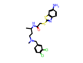 CC(CCN(C)Cc1ccc(Cl)c(Cl)c1)NC(=O)CSc1nc2ccc(N)cc2s1